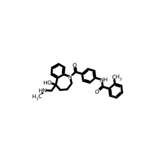 CNCC1(O)CCCN(C(=O)c2ccc(NC(=O)c3ccccc3C)cc2)c2ccccc21